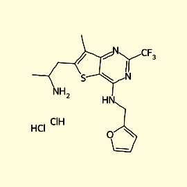 Cc1c(CC(C)N)sc2c(NCc3ccco3)nc(C(F)(F)F)nc12.Cl.Cl